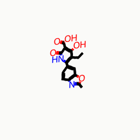 CCc1c(-c2ccc3nc(C)oc3c2)[nH]c(=O)c(C(=O)O)c1O